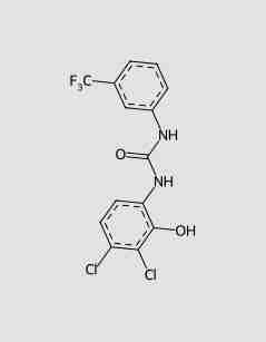 O=C(Nc1cccc(C(F)(F)F)c1)Nc1ccc(Cl)c(Cl)c1O